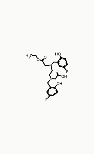 CCOC(=O)CN(CCN(CC(=O)O)Cc1cc(F)ccc1O)Cc1cc(F)ccc1O